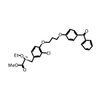 CCO[C@@H](Cc1ccc(OCCCOc2ccc(C(=O)c3ccccc3)cc2)c(Cl)c1)C(=O)OC